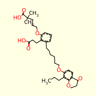 CCCc1c(OCCCCCCc2cccc(OCCCC(C)(C)C(=O)O)c2CCC(=O)O)ccc2c1OCCC2=O